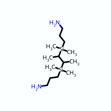 CC(C(C)[Si](C)(C)CCCN)[Si](C)(C)CCCN